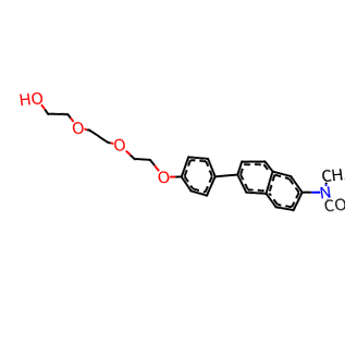 CN(C(=O)O)c1ccc2cc(-c3ccc(OCCOCCOCCO)cc3)ccc2c1